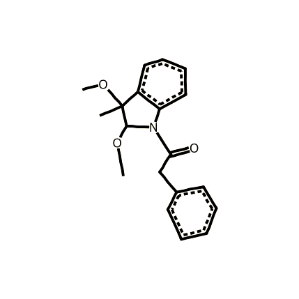 COC1N(C(=O)Cc2ccccc2)c2ccccc2C1(C)OC